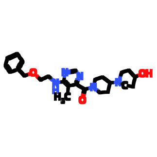 Cc1c(NCCOCc2ccccc2)ncnc1C(=O)N1CCC(N2CCC(O)CC2)CC1